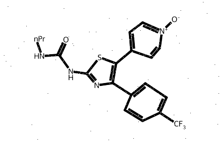 CCCNC(=O)Nc1nc(-c2ccc(C(F)(F)F)cc2)c(-c2cc[n+]([O-])cc2)s1